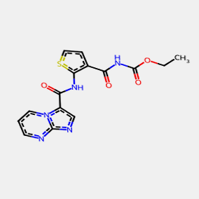 CCOC(=O)NC(=O)c1ccsc1NC(=O)c1cnc2ncccn12